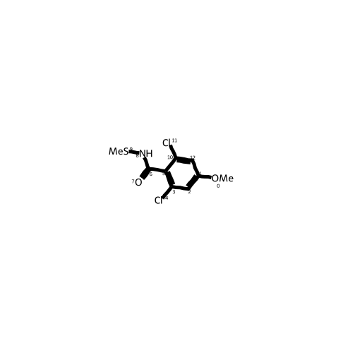 COc1cc(Cl)c(C(=O)NSC)c(Cl)c1